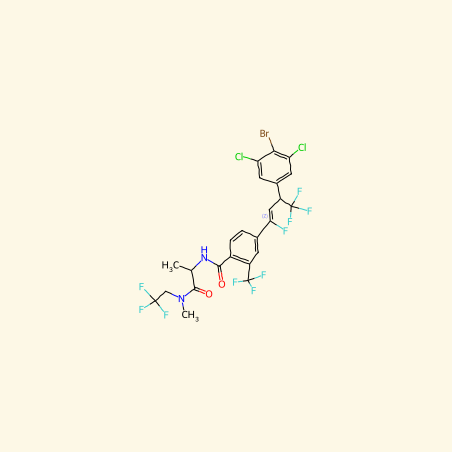 CC(NC(=O)c1ccc(/C(F)=C/C(c2cc(Cl)c(Br)c(Cl)c2)C(F)(F)F)cc1C(F)(F)F)C(=O)N(C)CC(F)(F)F